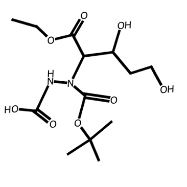 CCOC(=O)C(C(O)CCO)N(NC(=O)O)C(=O)OC(C)(C)C